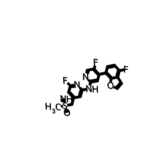 CS(=N)(=O)Cc1cc(F)nc(Nc2cc(-c3ccc(F)c4ccoc34)c(F)cn2)c1